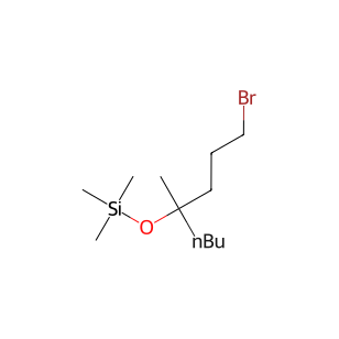 CCCCC(C)(CCCBr)O[Si](C)(C)C